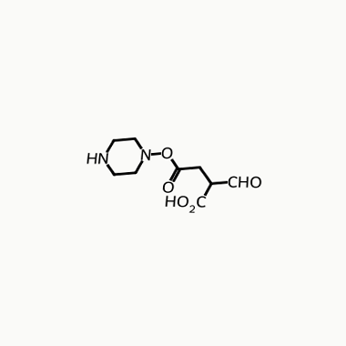 O=CC(CC(=O)ON1CCNCC1)C(=O)O